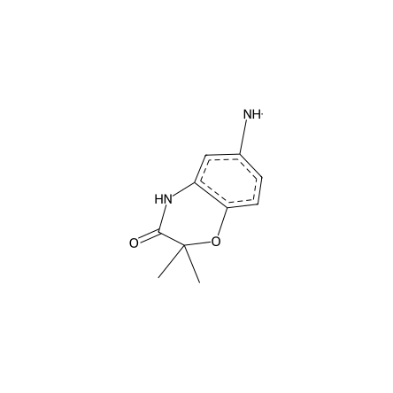 CC1(C)Oc2ccc([NH])cc2NC1=O